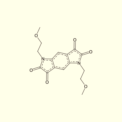 COCCn1c(=O)c(=O)c2cc3c(cc21)c(=O)c(=O)n3CCOC